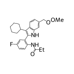 CCC(=O)Nc1ccc(F)cc1-c1[nH]c2cc(COOC)ccc2c1C1CCCCC1